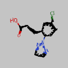 O=C(O)C=Cc1cc(Cl)ccc1-n1nccn1